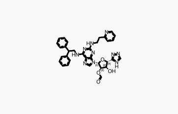 O=CO[C@@H]1[C@H](O)[C@@H](c2nnc[nH]2)O[C@H]1n1cnc2c(NCC(c3ccccc3)c3ccccc3)nc(NCCc3ccccn3)nc21